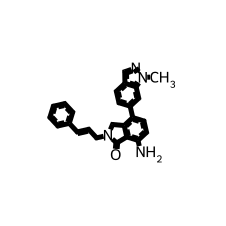 Cn1ncc2ccc(-c3ccc(N)c4c3CN(C/C=C/c3ccccc3)C4=O)cc21